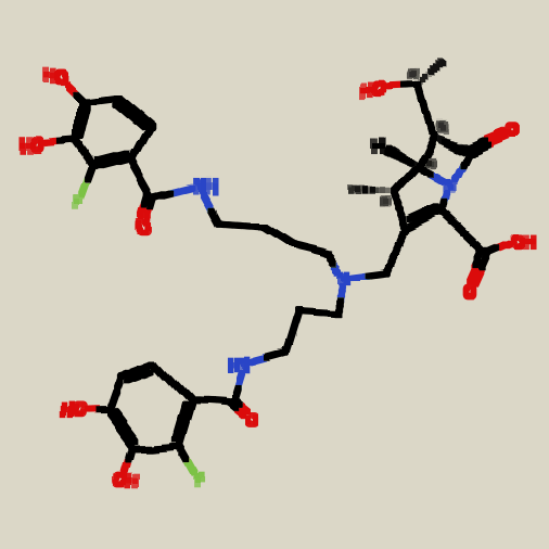 C[C@@H](O)[C@H]1C(=O)N2C(C(=O)O)=C(CN(CCCCNC(=O)c3ccc(O)c(O)c3F)CCCNC(=O)c3ccc(O)c(O)c3F)[C@H](C)[C@H]12